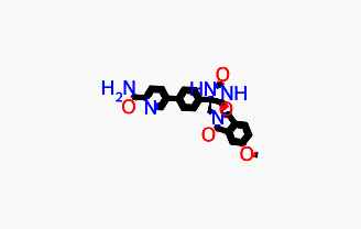 COc1ccc2c(c1)C(=O)N(C[C@@]1(c3ccc(-c4ccc(C(N)=O)nc4)cc3)NC(=O)NC1=O)C2